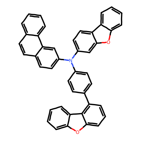 c1ccc2c(c1)ccc1ccc(N(c3ccc(-c4cccc5oc6ccccc6c45)cc3)c3ccc4c(c3)oc3ccccc34)cc12